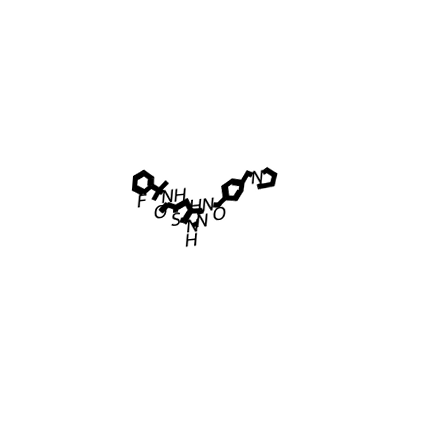 CC(C)(NC(=O)c1cc2c(NC(=O)c3ccc(CN4CCCC4)cc3)n[nH]c2s1)c1ccccc1F